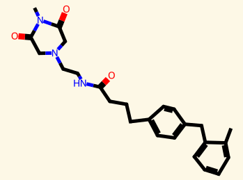 Cc1ccccc1Cc1ccc(CCCC(=O)NCCN2CC(=O)N(C)C(=O)C2)cc1